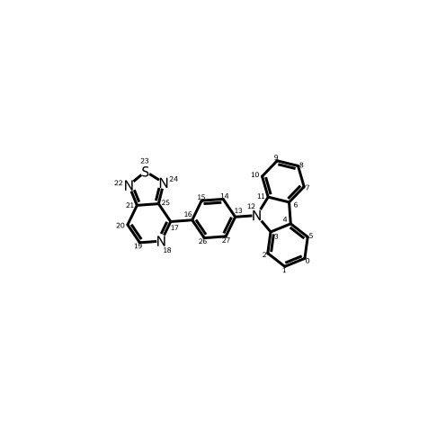 c1ccc2c(c1)c1ccccc1n2-c1ccc(-c2nccc3nsnc23)cc1